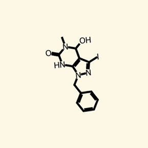 CN1C(=O)Nc2c(c(I)nn2Cc2ccccc2)C1O